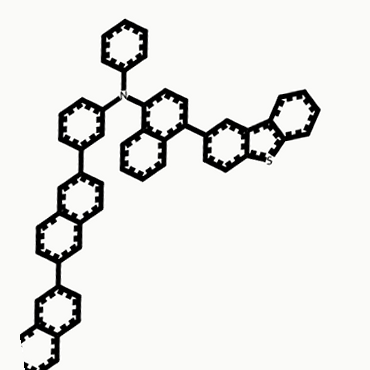 c1ccc(N(c2cccc(-c3ccc4cc(-c5ccc6ccccc6c5)ccc4c3)c2)c2ccc(-c3ccc4sc5ccccc5c4c3)c3ccccc23)cc1